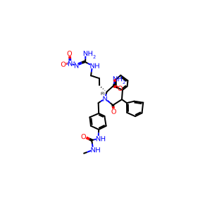 CNC(=O)Nc1ccc(CN(C(=O)C(c2ccccc2)c2ccccc2)[C@H](CCCNC(N)=N[N+](=O)[O-])C(N)=O)cc1